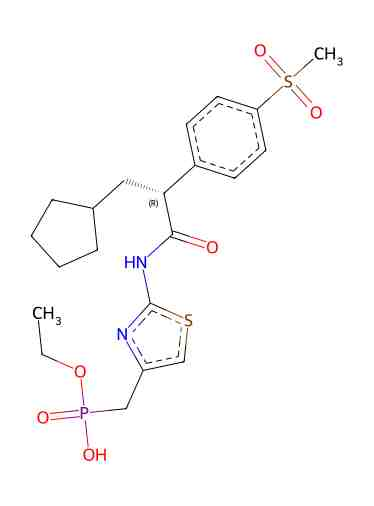 CCOP(=O)(O)Cc1csc(NC(=O)[C@H](CC2CCCC2)c2ccc(S(C)(=O)=O)cc2)n1